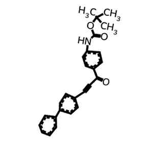 CC(C)(C)OC(=O)Nc1ccc(C(=O)C#Cc2ccc(-c3ccccc3)cc2)cc1